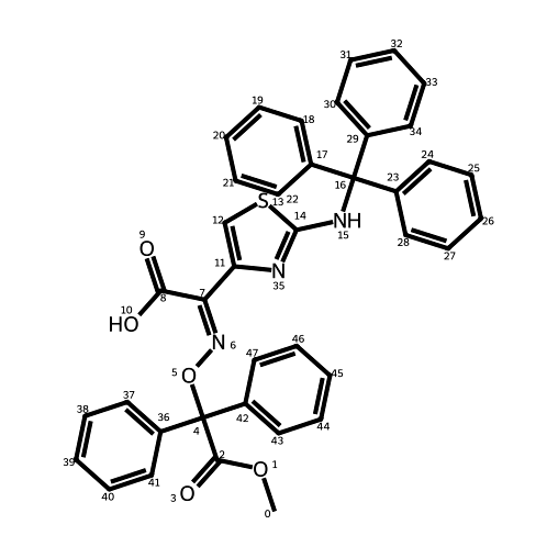 COC(=O)C(O/N=C(\C(=O)O)c1csc(NC(c2ccccc2)(c2ccccc2)c2ccccc2)n1)(c1ccccc1)c1ccccc1